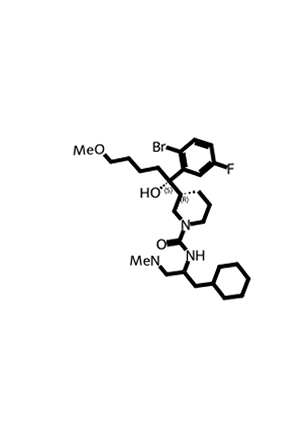 CNCC(CC1CCCCC1)NC(=O)N1CCC[C@@H]([C@@](O)(CCCCOC)c2cc(F)ccc2Br)C1